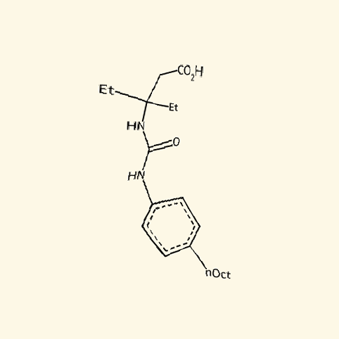 CCCCCCCCc1ccc(NC(=O)NC(CC)(CC)CC(=O)O)cc1